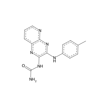 Cc1ccc(Nc2nc3ncccc3nc2NC(N)=O)cc1